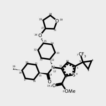 COC(=O)c1sc(C2(C(F)(F)F)CC2)cc1N(C(=O)[C@H]1CC[C@H](C)CC1)[C@H]1CC[C@@H](OC2CCOC2)CC1